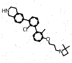 Cc1c(OCCCN2CCC2(C)C)cccc1-c1cccc(-c2ccc3c(c2)CCNC3)c1Cl